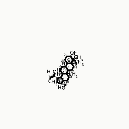 C/C=C(/C)[C@@H]1CC[C@]2(CO)CC[C@]3(C)[C@H](CC[C@@H]4[C@@]5(C)CC[C@H](O)C(C)(C)[C@@H]5CC[C@]43C)[C@@H]12